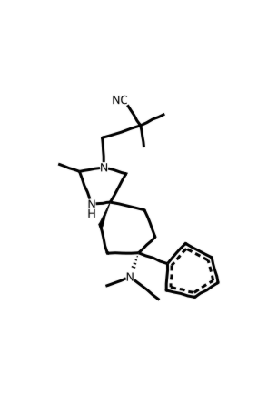 CC1N[C@]2(CC[C@@](c3ccccc3)(N(C)C)CC2)CN1CC(C)(C)C#N